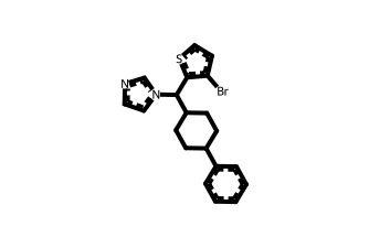 Brc1ccsc1C(C1CCC(c2ccccc2)CC1)n1ccnc1